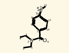 CCN(CC)C(=O)c1ccc([Se]C)cc1